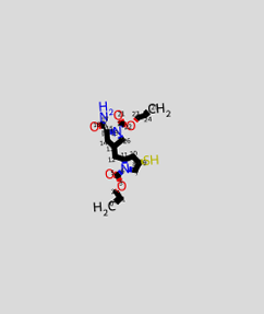 C=CCOC(=O)N1CC(S)CC1CC1C[C@@H](C(N)=O)N(C(=O)OCC=C)C1